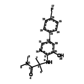 CN(C)C(=O)C(C)(C)Nc1ncc(-c2ccc(F)cc2)cc1O